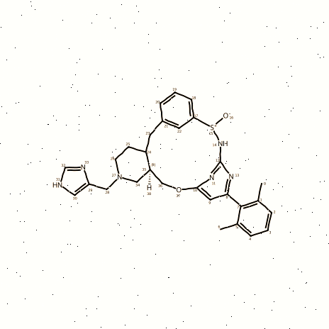 Cc1cccc(C)c1-c1cc2nc(n1)N[S+]([O-])c1cccc(c1)CC1CCN(Cc3c[nH]cn3)C[C@@H]1CO2